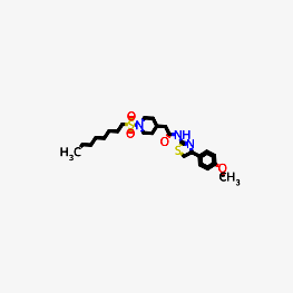 CCCCCCCCS(=O)(=O)N1CCC(CC(=O)NC2=NC(c3ccc(OC)cc3)CS2)CC1